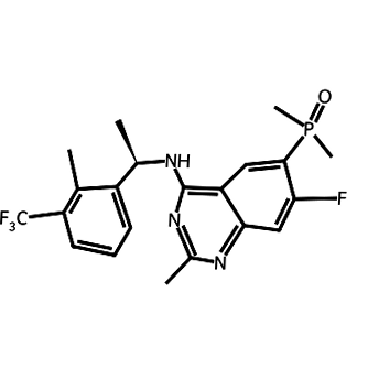 Cc1nc(N[C@H](C)c2cccc(C(F)(F)F)c2C)c2cc(P(C)(C)=O)c(F)cc2n1